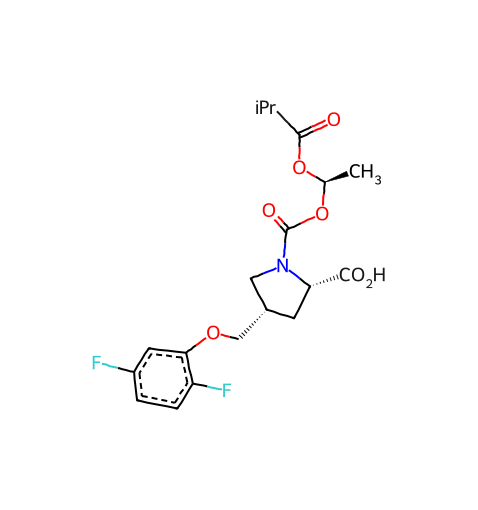 CC(C)C(=O)O[C@@H](C)OC(=O)N1C[C@@H](COc2cc(F)ccc2F)C[C@H]1C(=O)O